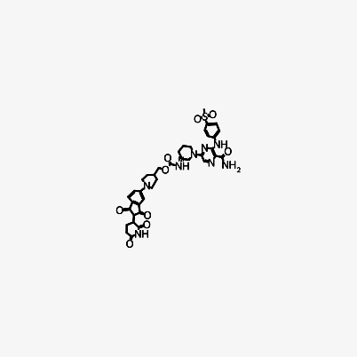 CS(=O)(=O)c1ccc(Nc2nc(N3CCC[C@@H](NC(=O)OCC4CCN(c5ccc6c(c5)C(=O)C(C5CCC(=O)NC5=O)C6=O)CC4)C3)cnc2C(N)=O)cc1